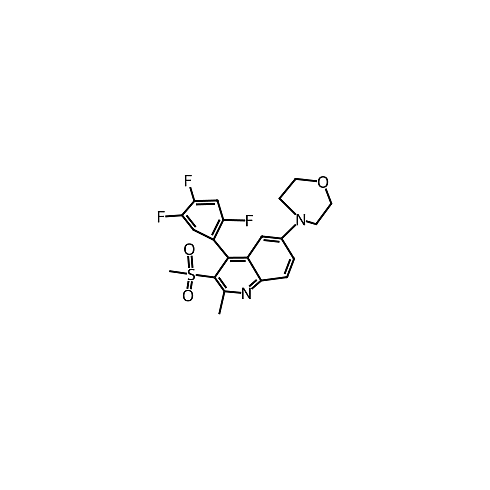 Cc1nc2ccc(N3CCOCC3)cc2c(-c2cc(F)c(F)cc2F)c1S(C)(=O)=O